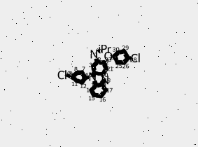 CC(C)N=c1cc2n(-c3ccc(Cl)cc3)c3ccccc3nc-2cc1Oc1ccc(Cl)cc1